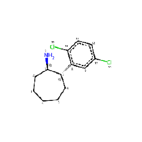 N[C@@H]1CCCCC[C@H]1c1cc(Cl)ccc1Cl